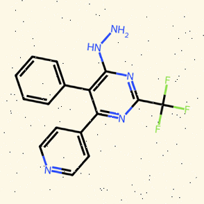 NNc1nc(C(F)(F)F)nc(-c2ccncc2)c1-c1ccccc1